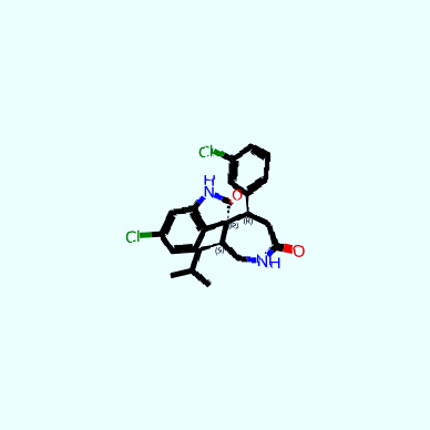 CC(C)C[C@@H]1CNC(=O)C[C@H](c2cccc(Cl)c2)[C@@]12C(=O)Nc1cc(Cl)ccc12